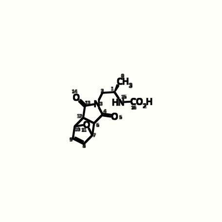 C[C@H](CN1C(=O)C2C3C=CC(O3)C2C1=O)NC(=O)O